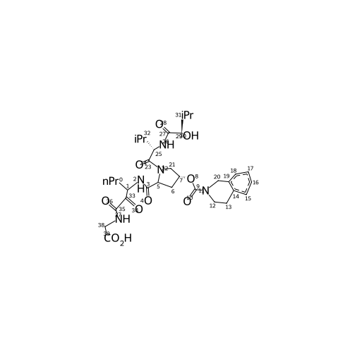 CCCC(NC(=O)C1C[C@@H](OC(=O)N2CCc3ccccc3C2)CN1C(=O)[C@@H](NC(=O)[C@H](O)C(C)C)C(C)C)C(=O)C(=O)NCC(=O)O